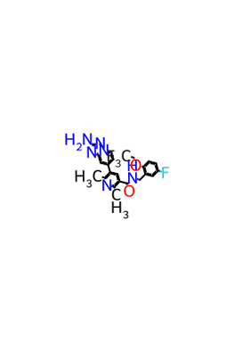 Cc1nc(C)c(-c2ccn3nc(N)nc3c2)cc1C(=O)NCc1cc(F)ccc1OCC(F)(F)F